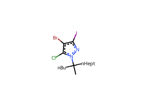 CCCCCCCC(C)(CCCC)n1nc(I)c(Br)c1Cl